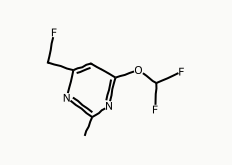 Cc1nc(CF)cc(OC(F)F)n1